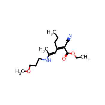 CCCC(/C=C(\C)NCCCOC)=C(\C#N)C(=O)OCC